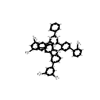 FC(F)(F)c1cc(-c2ccc3c(c2)c2cc(-c4cc(C(F)(F)F)cc(C(F)(F)F)c4)ccc2n3-c2cc(-c3ccccc3C(F)(F)F)ccc2-c2nc(-c3ccccc3)nc(-c3ccccc3)n2)cc(C(F)(F)F)c1